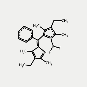 CCC1=C(C)/C(=C(\c2ccccc2)c2c(C)c(CC)c(C)n2B(F)F)N=C1C